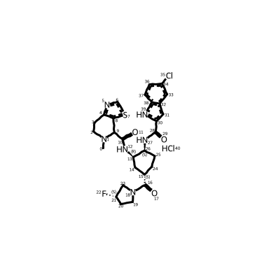 CN1CCc2ncsc2C1C(=O)N[C@@H]1C[C@@H](C(=O)N2CC[C@H](F)C2)CC[C@@H]1NC(=O)c1cc2cc(Cl)ccc2[nH]1.Cl